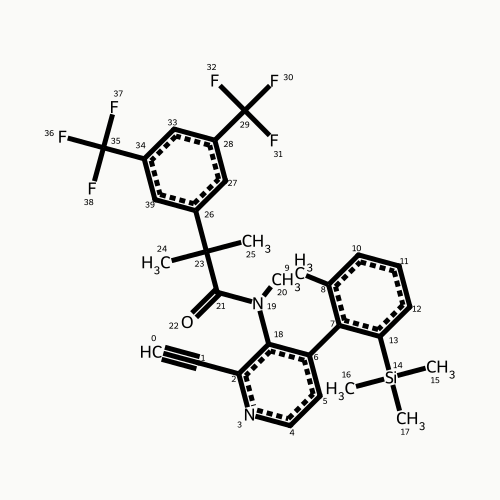 C#Cc1nccc(-c2c(C)cccc2[Si](C)(C)C)c1N(C)C(=O)C(C)(C)c1cc(C(F)(F)F)cc(C(F)(F)F)c1